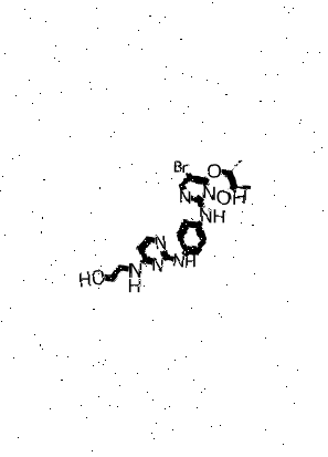 C[C@@H](O)[C@@H](C)Oc1nc(Nc2ccc(Nc3nccc(NCCO)n3)cc2)ncc1Br